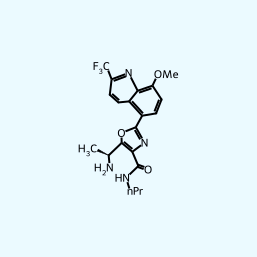 CCCNC(=O)c1nc(-c2ccc(OC)c3nc(C(F)(F)F)ccc23)oc1[C@H](C)N